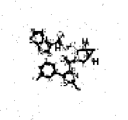 Cc1cccc(-c2sc(C)nc2C(=O)N2C[C@@H]3C[C@@H]3[C@H]2CNC(=O)c2cnc3sccn23)c1